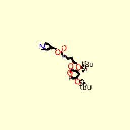 CC(CC/C=C/C(=O)OCc1ccncc1)O[C@@H]1O[C@@H](C)[C@H](O[Si](C)(C)C(C)(C)C)C[C@H]1O[Si](C)(C)C(C)(C)C